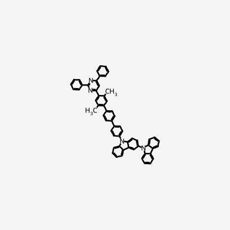 Cc1cc(-c2cc(-c3ccccc3)nc(-c3ccccc3)n2)c(C)cc1-c1ccc(-c2ccc(-n3c4ccccc4c4cc(-n5c6ccccc6c6ccccc65)ccc43)cc2)cc1